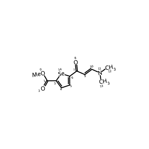 COC(=O)c1ccc(C(=O)C=CN(C)C)[se]1